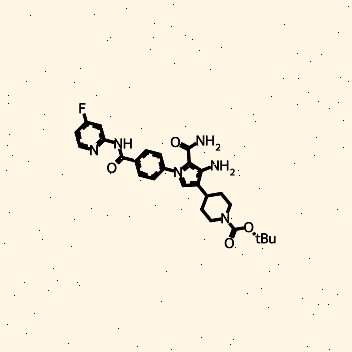 CC(C)(C)OC(=O)N1CCC(c2cn(-c3ccc(C(=O)Nc4cc(F)ccn4)cc3)c(C(N)=O)c2N)CC1